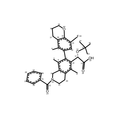 Cc1c(-c2c(C)c3c(c(C)c2[C@H](OC(C)(C)C)C(=O)O)CCN(C(=O)c2ccccc2)C3)cc(F)c2c1CCCO2